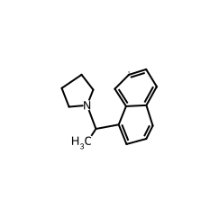 CC(c1cccc2cc[c]cc12)N1CCCC1